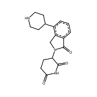 O=C1CCC(N2Cc3c(cccc3C3CCNCC3)C2=O)C(=O)N1